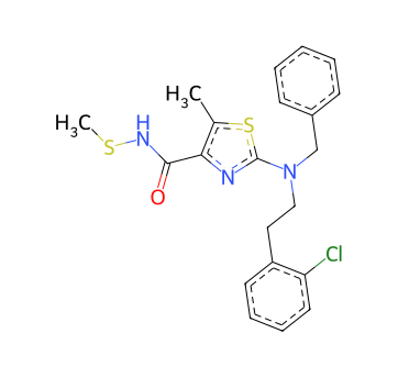 CSNC(=O)c1nc(N(CCc2ccccc2Cl)Cc2ccccc2)sc1C